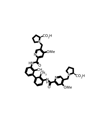 COc1cc(C(=O)Nc2cccc(-c3cccc(NC(=O)c4cc(OC)c(CN5CCC[C@H]5C(=O)O)cn4)c3C)c2C)ncc1CN1CCC[C@H]1C(=O)O